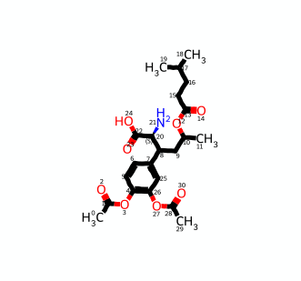 CC(=O)Oc1ccc(C(CC(C)OC(=O)CCC(C)C)[C@H](N)C(=O)O)cc1OC(C)=O